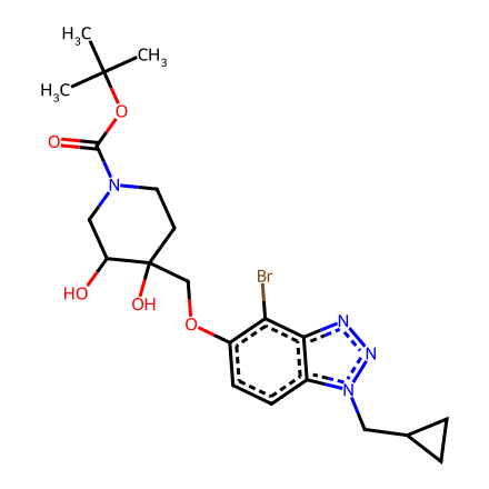 CC(C)(C)OC(=O)N1CCC(O)(COc2ccc3c(nnn3CC3CC3)c2Br)C(O)C1